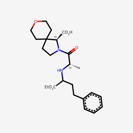 CCOC(=O)C(CCc1ccccc1)N[C@@H](C)C(=O)N1CCC2(CCOCC2)[C@H]1C(=O)O